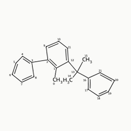 Cc1c(-c2ccccc2)cccc1C(C)(C)c1ccccc1